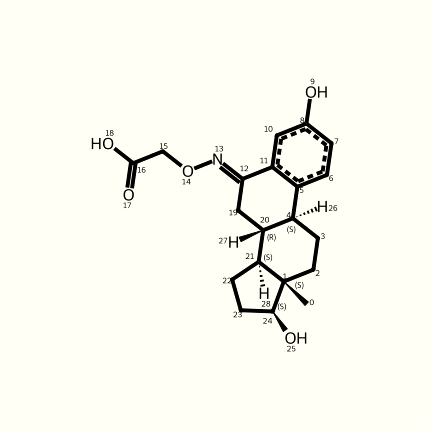 C[C@]12CC[C@@H]3c4ccc(O)cc4C(=NOCC(=O)O)C[C@H]3[C@@H]1CC[C@@H]2O